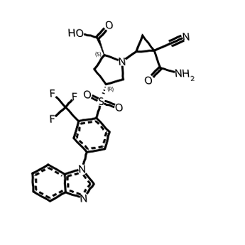 N#CC1(C(N)=O)CC1N1C[C@H](S(=O)(=O)c2ccc(-n3cnc4ccccc43)cc2C(F)(F)F)C[C@H]1C(=O)O